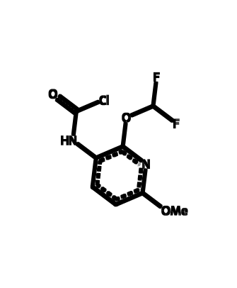 COc1ccc(NC(=O)Cl)c(OC(F)F)n1